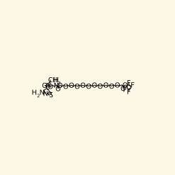 CCCN(OCCNC(=O)OCCOCCOCCOCCOCCOCCOCCOCCOCCOCCOCCC(=O)Oc1c(F)c(F)cc(F)c1F)C(=O)C1=Cc2cscc2N=C(N)C1